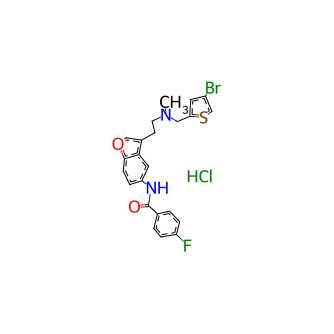 CN(CCc1coc2ccc(NC(=O)c3ccc(F)cc3)cc12)Cc1cc(Br)cs1.Cl